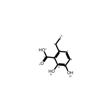 O=C(O)c1c(CI)ccc(O)c1O